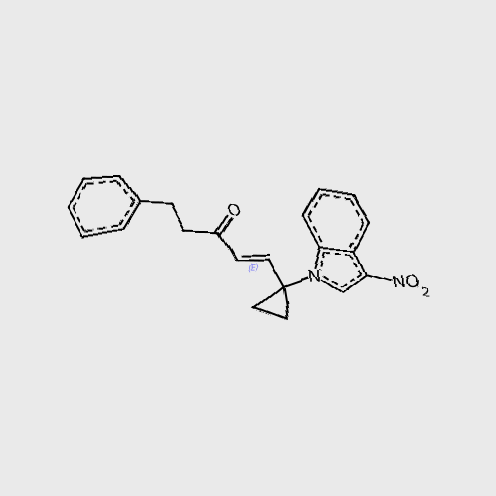 O=C(/C=C/C1(n2cc([N+](=O)[O-])c3ccccc32)CC1)CCc1ccccc1